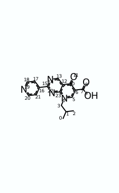 CC(C)Cn1cc(C(=O)O)c(=O)c2cnc(-c3ccncc3)nc21